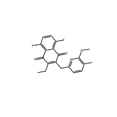 CCC1=C(Cc2ccc(C)c(OC)n2)C(=O)c2c(F)ccc(F)c2C1=O